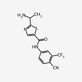 CC(N)c1ncc(C(=O)Nc2ccc(C#N)c(C(F)(F)F)c2)s1